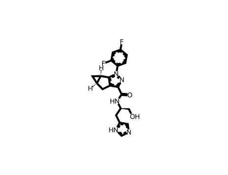 O=C(N[C@@H](CO)Cc1cnc[nH]1)c1nn(-c2ccc(F)cc2F)c2c1C[C@H]1C[C@@H]21